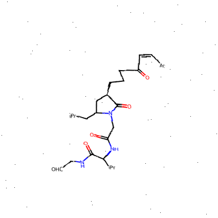 CC(=O)/C=C\C(=O)CCC[C@@H]1CC(CC(C)C)N(CC(=O)NC(C(=O)NCC=O)C(C)C)C1=O